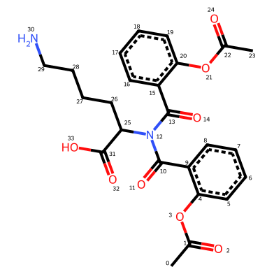 CC(=O)Oc1ccccc1C(=O)N(C(=O)c1ccccc1OC(C)=O)C(CCCCN)C(=O)O